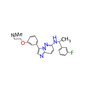 CNCCOc1cccc(-c2cnc3ccc(NC(C)c4cccc(F)c4)nn23)c1